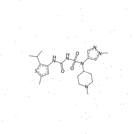 Cc1cc(NC(=O)NS(=O)(=O)N(c2cnn(C)c2)C2CCN(C)CC2)c(C(C)C)s1